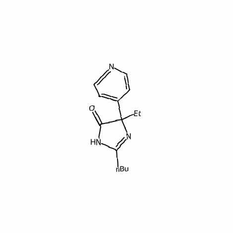 CCCCC1=NC(CC)(c2ccncc2)C(=O)N1